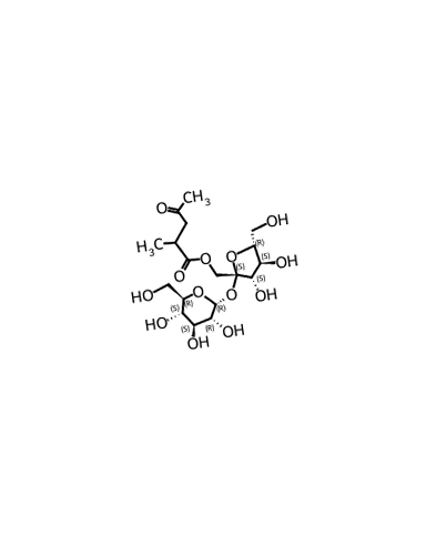 CC(=O)CC(C)C(=O)OC[C@@]1(O[C@H]2O[C@H](CO)[C@@H](O)[C@H](O)[C@H]2O)O[C@H](CO)[C@@H](O)[C@@H]1O